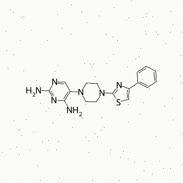 Nc1ncc(N2CCN(c3nc(-c4ccccc4)cs3)CC2)c(N)n1